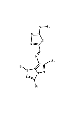 CCSc1nnc(/N=N/c2c(C(C)(C)C)nn3c(C(C)C)nn(CC)c23)s1